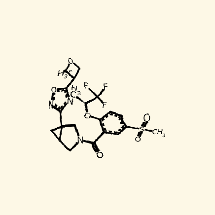 C[C@H](Oc1ccc(S(C)(=O)=O)cc1C(=O)N1CC2CC2(c2noc(C3(C)COC3)n2)C1)C(F)(F)F